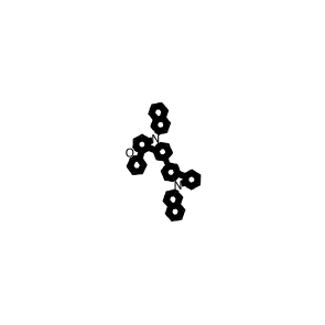 c1ccc2cc(-n3c4ccccc4c4cc(-c5ccc6c(c5)c5c7c(ccc5n6-c5ccc6ccccc6c5)oc5ccccc57)ccc43)ccc2c1